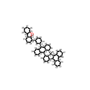 CC1(C)c2c(-c3c4ccccc4c(-c4cccc(-c5cccc6c5oc5ccccc56)c4)c4ccccc34)cccc2-c2c1c1ccccc1c1ccccc21